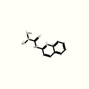 CON(C(=O)Nc1ccc2ccccc2n1)C(C)C